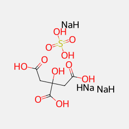 O=C(O)CC(O)(CC(=O)O)C(=O)O.O=S(=O)(O)O.[NaH].[NaH].[NaH]